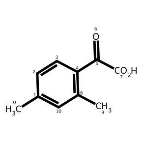 Cc1ccc(C(=O)C(=O)O)c(C)c1